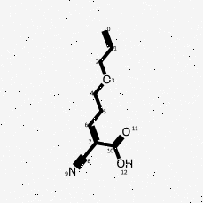 C=CCOCCC=C(C#N)C(=O)O